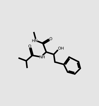 CNC(=O)C(NC(=O)C(C)C)C(O)Cc1ccccc1